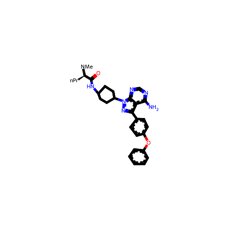 CCC[C@@H](NC)C(=O)NC1CCC(n2nc(-c3ccc(Oc4ccccc4)cc3)c3c(N)ncnc32)CC1